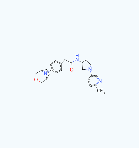 O=C(Cc1ccc(N2C3CCC2COC3)cc1)N[C@@H]1CCN(c2ccc(C(F)(F)F)nc2)C1